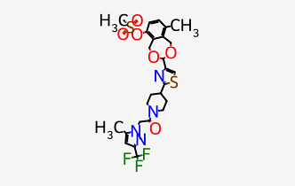 Cc1ccc(OS(C)(=O)=O)c2c1COC(c1csc(C3CCN(C(=O)Cn4nc(C(F)(F)F)cc4C)CC3)n1)OC2